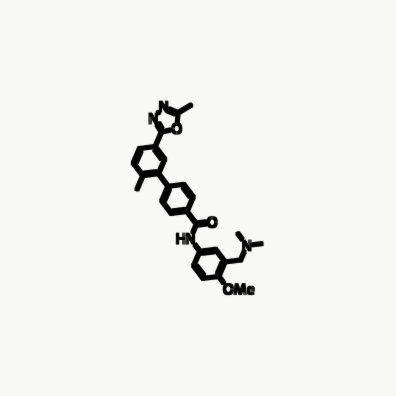 COc1ccc(NC(=O)c2ccc(-c3cc(-c4nnc(C)o4)ccc3C)cc2)cc1CN(C)C